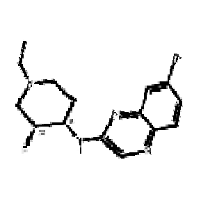 CCN1CC[C@@H](Nc2cnc3ccc(Br)cc3n2)[C@@H](F)C1